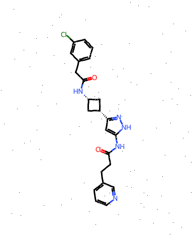 O=C(CCc1cccnc1)Nc1cc([C@H]2C[C@@H](NC(=O)Cc3cccc(Cl)c3)C2)n[nH]1